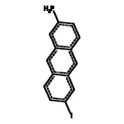 Pc1ccc2cc3cc(I)ccc3cc2c1